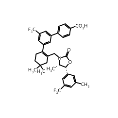 Cc1cc([C@H]2OC(=O)N(CC3=C(c4cc(-c5ccc(C(=O)O)cc5)cc(C(F)(F)F)c4)CCC(C)(C)C3)[C@H]2C)cc(C(F)(F)F)c1